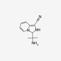 CC(C)(N)C1NC(C#N)=C2C=CC=CN21